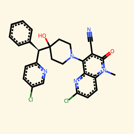 Cn1c(=O)c(C#N)c(N2CCC(O)([C@H](c3ccccc3)c3ccc(Cl)cn3)CC2)c2nc(Cl)ccc21